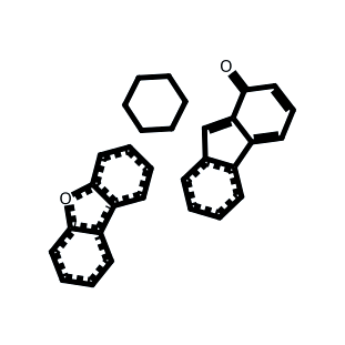 C1CCCCC1.O=C1C=CC=C2C1=Cc1ccccc12.c1ccc2c(c1)oc1ccccc12